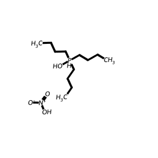 CCCC[PH](O)(CCCC)CCCC.O=[N+]([O-])O